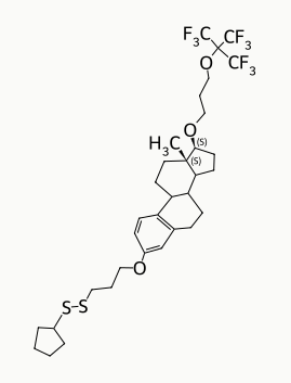 C[C@]12CCC3c4ccc(OCCCSSC5CCCC5)cc4CCC3C1CC[C@@H]2OCCCOC(C(F)(F)F)(C(F)(F)F)C(F)(F)F